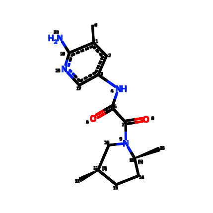 Cc1cc(NC(=O)C(=O)N2C[C@H](C)CC[C@@H]2C)cnc1N